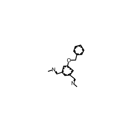 C/N=C/c1cc(/C=N/C)cc(OCc2ccccc2)c1